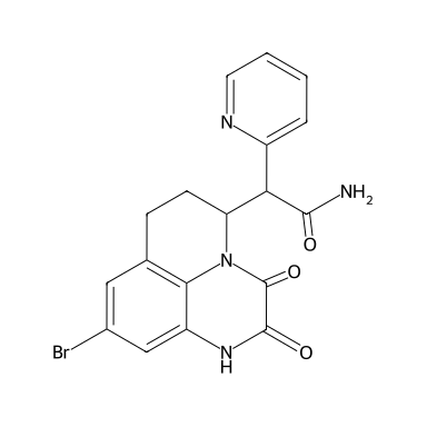 NC(=O)C(c1ccccn1)C1CCc2cc(Br)cc3[nH]c(=O)c(=O)n1c23